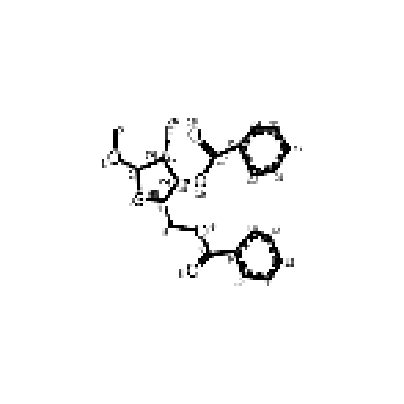 COC1S[C@H](COC(=O)c2ccccc2)[C@@H](OC(=O)c2ccccc2)[C@@H]1F